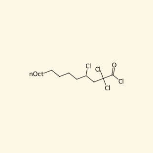 CCCCCCCCCCCCC(Cl)CC(Cl)(Cl)C(=O)Cl